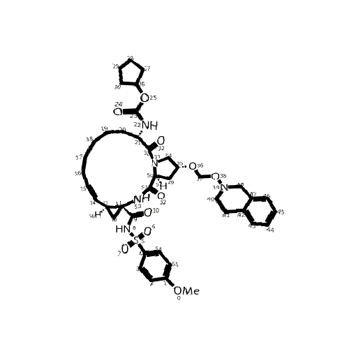 COc1ccc(S(=O)(=O)NC(=O)[C@@]23C[C@H]2/C=C\CCCCC[C@H](NC(=O)OC2CCCC2)C(=O)N2C[C@H](OCON4CCc5ccccc5C4)C[C@H]2C(=O)N3)cc1